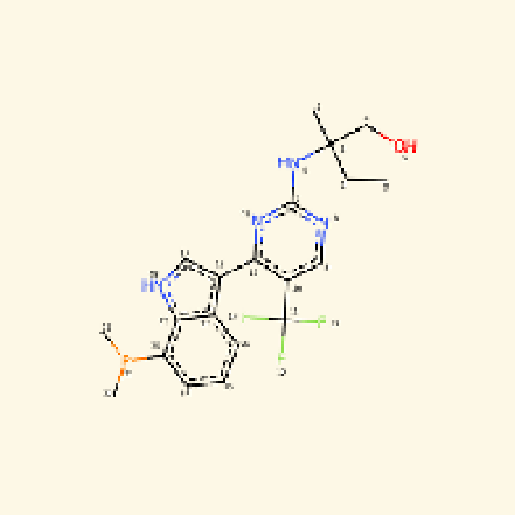 CCC(C)(CO)Nc1ncc(C(F)(F)F)c(-c2c[nH]c3c(P(C)C)cccc23)n1